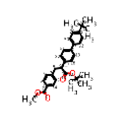 COC(=O)c1ccc(CC(C(=O)OC(C)(C)C)c2ccc(-c3ccc(C(C)(C)C)cc3)cc2)cc1